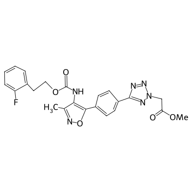 COC(=O)Cn1nnc(-c2ccc(-c3onc(C)c3NC(=O)OCCc3ccccc3F)cc2)n1